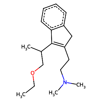 CCOCC(C)C1=C(CCN(C)C)Cc2ccccc21